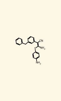 N#C/C(=C(\N)Sc1ccc(N)cc1)c1cccc(Cc2ccccc2)c1